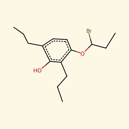 CCCc1ccc(OC(Br)CC)c(CCC)c1O